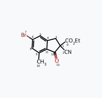 CCOC(=O)C1(C#N)Cc2cc(Br)cc(C)c2C1=O